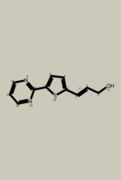 OC/C=C/c1ccc(-c2ncccn2)s1